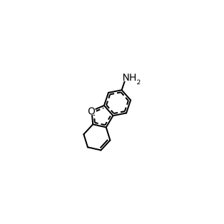 Nc1ccc2c3c(oc2c1)CCC=C3